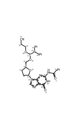 CC(C)C(=O)Nc1nc2c(ncn2[C@H]2CC[C@@H](COP(OCCC#N)N(C(C)C)C(C)C)O2)c(=O)[nH]1